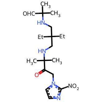 CCC(CC)(CNC(C)(C)C=O)CNC(C)(C)C(=O)Cn1ccnc1[N+](=O)[O-]